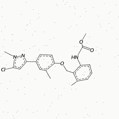 COC(=O)Nc1cccc(C)c1COc1ccc(-c2cc(Cl)n(C)n2)cc1C